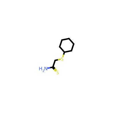 NC(=S)CSC1CCCCC1